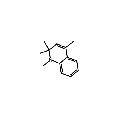 CC1=CC(C)(C)N(C)c2ccccc21